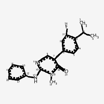 CC(C)c1ccc(-c2cnc(Nc3ccccc3)n(C)c2=O)cc1F